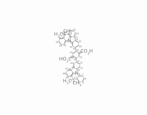 CC1(C)c2ccccc2-n2c3ccc(-c4cc(C(=O)O)c(-c5ccc6c7cccc8c7n(c6c5)-c5ccccc5C8(C)C)cc4C(=O)O)cc3c3cccc1c32